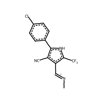 C/N=C/c1c(C(F)(F)F)[nH]c(-c2ccc(Cl)cc2)c1C#N